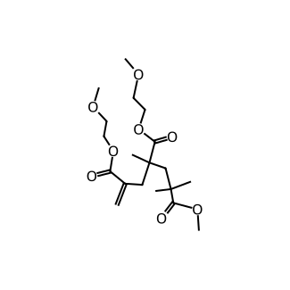 C=C(CC(C)(CC(C)(C)C(=O)OC)C(=O)OCCOC)C(=O)OCCOC